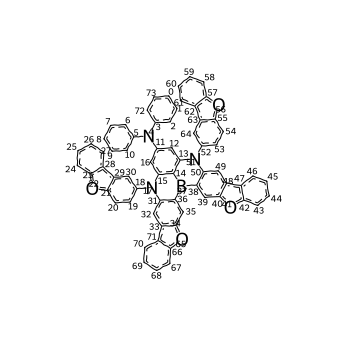 c1ccc(N(c2ccccc2)c2cc3c4c(c2)N(c2ccc5oc6ccccc6c5c2)c2cc5c(cc2B4c2cc4oc6ccccc6c4cc2N3c2ccc3oc4ccccc4c3c2)oc2ccccc25)cc1